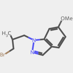 COc1ccc2cnn(CC(C)CBr)c2c1